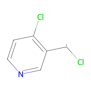 Cl[CH]c1cnccc1Cl